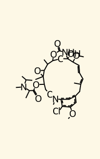 COc1cc2cc(c1Cl)N(C)CCC(OC(=O)C(C)N(C)C(C)C)C1(C)OC1C(C)C1CC(O)(NC(=O)O1)C(OC)/C=C/C=C(\C)C2